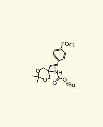 CCCCCCCCc1ccc(/C=C/C2(NC(=O)OC(C)(C)C)COC(C)(C)OC2)cc1